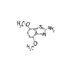 COc1ccc(OC)c2sc(N)nc12